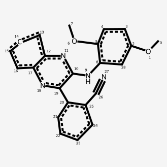 COc1ccc(OC)c(Nc2nc3ccccc3nc2-c2ccccc2C#N)c1